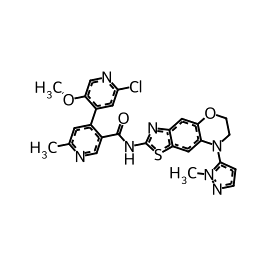 COc1cnc(Cl)cc1-c1cc(C)ncc1C(=O)Nc1nc2cc3c(cc2s1)N(c1ccnn1C)CCO3